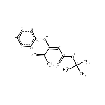 CC(=O)C(=CC(=O)OC(C)(C)C)Sc1ccccc1